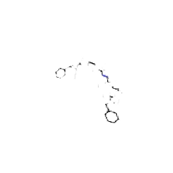 C[C@H](COC(=O)/C=C/C(=O)OC[C@@H](C)OC(=O)NCC1CCCCC1)OC(=O)NCC1CCCCC1